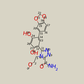 COCCn1c(C(N)=O)nnc1-c1cc(-c2ccc3c(c2)OCO3)c(O)cc1O